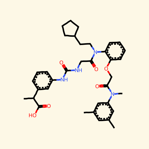 Cc1cc(C)cc(N(C)C(=O)COc2ccccc2N(CCC2CCCC2)C(=O)CNC(=O)Nc2cccc(C(C)C(=O)O)c2)c1